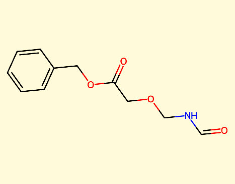 O=CNCOCC(=O)OCc1ccccc1